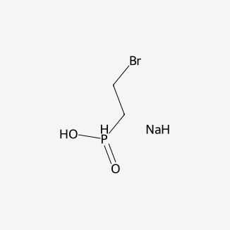 O=[PH](O)CCBr.[NaH]